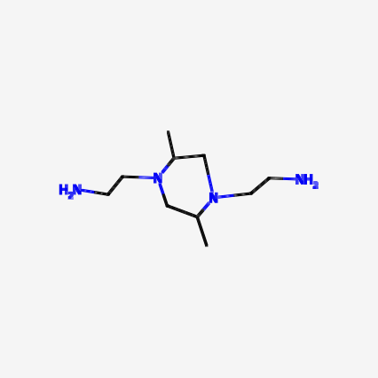 CC1CN(CCN)C(C)CN1CCN